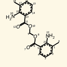 Cc1cccc(C(=O)OCOC(=O)c2cccc(C)c2N)c1N